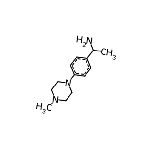 CC(N)c1ccc(N2CCN(C)CC2)cc1